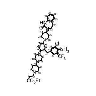 CCOC(=O)CCN1CCC(N2CCN(C(=O)C(Cc3cc(Cl)c(N)c(C(F)(F)F)c3)OC(=O)N3CCC(N4CCc5ccccc5NC4=O)CC3)CC2)CC1